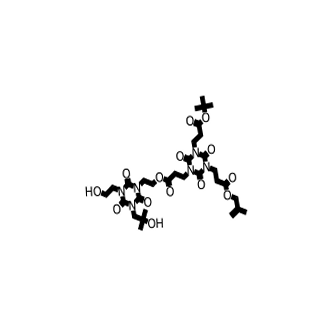 C=C(C)COC(=O)CCn1c(=O)n(CCC(=O)OCCn2c(=O)n(CCO)c(=O)n(CC(C)(C)O)c2=O)c(=O)n(CCC(=O)OC(C)(C)C)c1=O